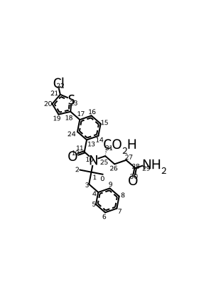 CC(C)(Cc1ccccc1)N(C(=O)c1cccc(-c2ccc(Cl)s2)c1)[C@@H](CCC(N)=O)C(=O)O